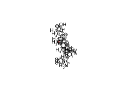 CC1([C@@H]2CC[C@]3(NC[C@H](CN)N4CCS(=O)(=O)CC4)CC[C@]4(C)[C@H](CC[C@@H]5[C@@]6(C)CC[C@H](OC(=O)[C@H]7C[C@@H](C(=O)O)C7(C)C)C(C)(C)[C@@H]6CC[C@]54C)[C@@H]23)CC1